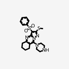 CSc1nn2c(N3CCNCC3)c3c(nc2c1S(=O)(=O)c1ccccc1)CCCC3